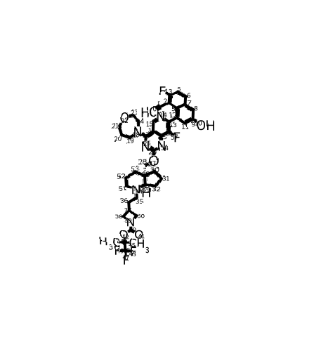 C#Cc1c(F)ccc2cc(O)cc(-c3ncc4c(N5CCCOCC5)nc(OC[C@]56CCC[C@H]5N(CCC5CN(C(=O)OC(C)(C)C(F)(F)F)C5)CCC6)nc4c3F)c12